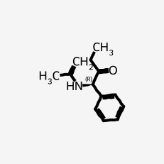 C=C(C)N[C@@H](C(=O)CC)c1ccccc1